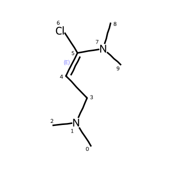 CN(C)C/C=C(/Cl)N(C)C